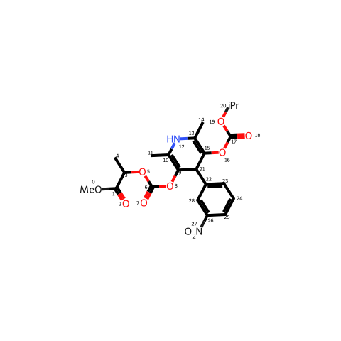 COC(=O)C(C)OC(=O)OC1=C(C)NC(C)=C(OC(=O)OC(C)C)C1c1cccc([N+](=O)[O-])c1